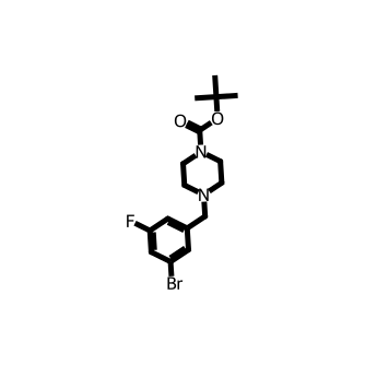 CC(C)(C)OC(=O)N1CCN(Cc2cc(F)cc(Br)c2)CC1